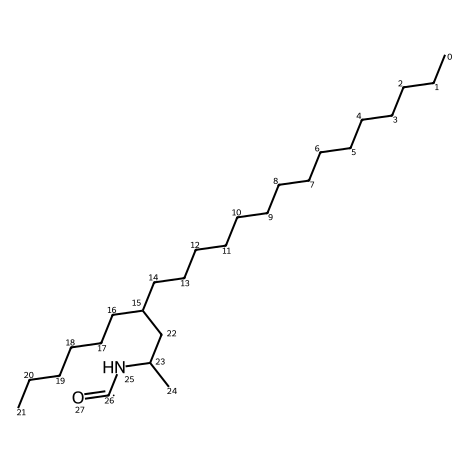 CCCCCCCCCCCCCCCC(CCCCCC)CC(C)N[C]=O